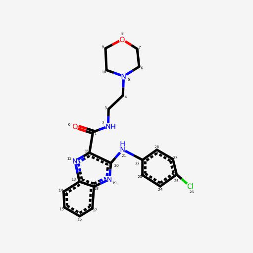 O=C(NCCN1CCOCC1)c1nc2ccccc2nc1Nc1ccc(Cl)cc1